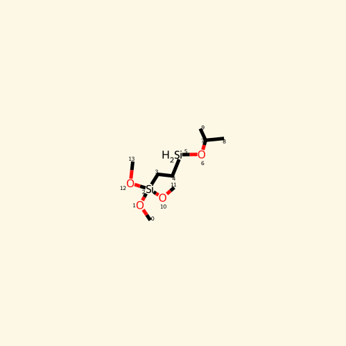 CO[Si](CC[SiH2]OC(C)C)(OC)OC